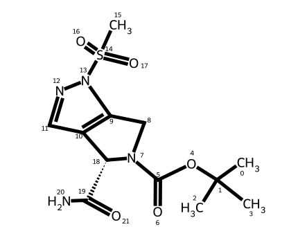 CC(C)(C)OC(=O)N1Cc2c(cnn2S(C)(=O)=O)[C@H]1C(N)=O